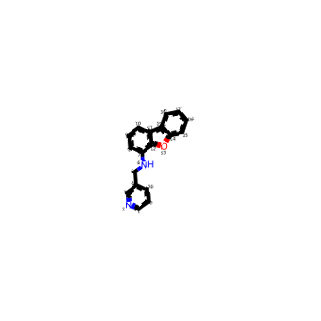 c1cncc(CNc2cccc3c2oc2ccccc23)c1